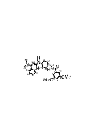 COc1cc(OC)cc(C(=O)NC[C@H]2CC[C@@H](Nc3nc(N(C)C)c4ccccc4n3)CC2)c1